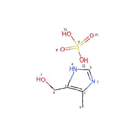 Cc1nc[nH]c1CO.O=S(=O)(O)O